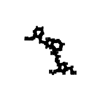 COc1ccccc1Cc1cc2c(NN=Cc3sc(CO)cc3C)ncnc2s1